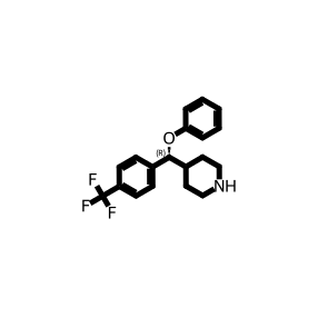 FC(F)(F)c1ccc([C@H](Oc2ccccc2)C2CCNCC2)cc1